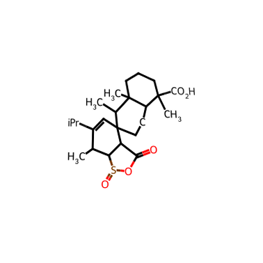 CC(C)C1=CC2(CCC3C(C)(C(=O)O)CCCC3(C)C2C)C2C(=O)OS(=O)C2C1C